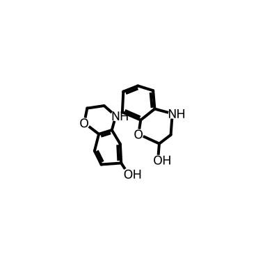 OC1CNc2ccccc2O1.Oc1ccc2c(c1)NCCO2